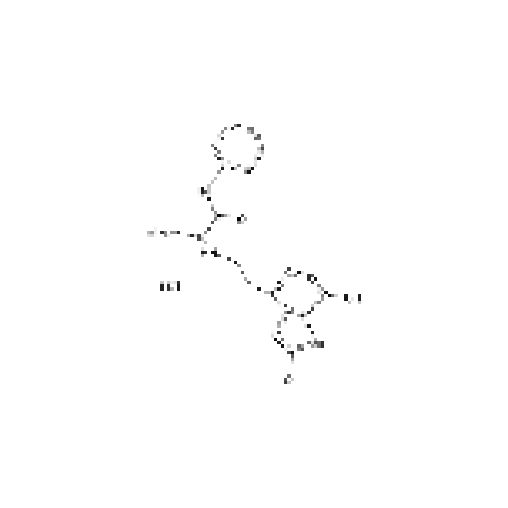 CCCCCCN(NCCc1ccc(O)c2[nH]c(=O)sc12)C(=O)Nc1ccccc1.Cl